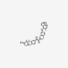 CCN1CCN(Cc2ccc(NC(=O)N3CCc4ccc(Oc5c(C)cnc6[nH]ccc56)cc4C3)cc2C(F)(F)F)CC1